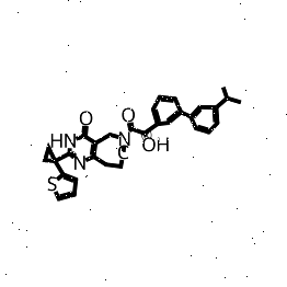 CC(C)c1cccc(-c2cccc([C@@H](O)C(=O)N3CCCc4nc(C5(c6cccs6)CC5)[nH]c(=O)c4C3)c2)c1